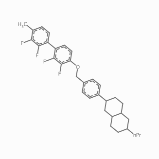 CCCC1CCC2CC(c3ccc(COc4ccc(-c5ccc(C)c(F)c5F)c(F)c4F)cc3)CCC2C1